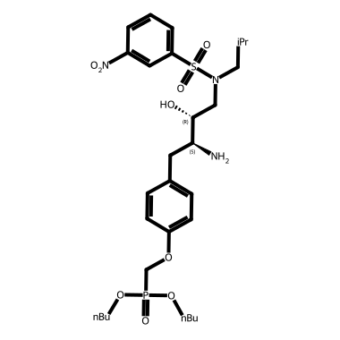 CCCCOP(=O)(COc1ccc(C[C@H](N)[C@H](O)CN(CC(C)C)S(=O)(=O)c2cccc([N+](=O)[O-])c2)cc1)OCCCC